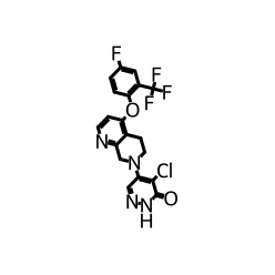 O=c1[nH]ncc(N2CCc3c(Oc4ccc(F)cc4C(F)(F)F)ccnc3C2)c1Cl